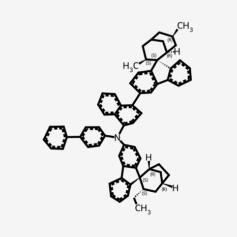 CC[C@H]1C[C@H]2CC[C@H](C2)[C@]12c1ccccc1-c1cc(N(c3ccc(-c4ccccc4)cc3)c3ccc(-c4ccc5c(c4)-c4ccccc4[C@]54[C@H]5CC(C[C@@H](C)C5)C[C@@H]4C)c4ccccc34)ccc12